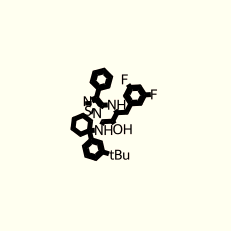 CC(C)(C)c1cccc(C2(NCC(O)C(Cc3cc(F)cc(F)c3)Nc3nsnc3-c3ccccc3)CCCCC2)c1